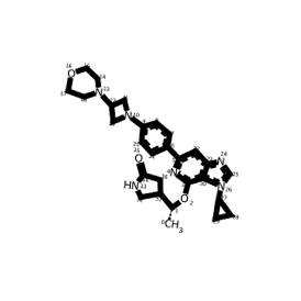 C[C@@H](Oc1nc(-c2ccc(N3CC(N4CCOCC4)C3)cc2)cc2ncn(C3CC3)c12)C1CNC(=O)C1